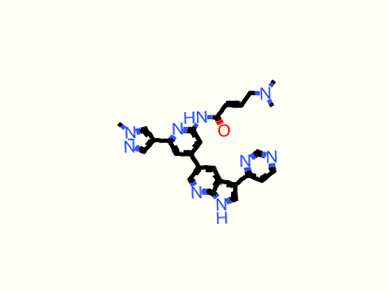 CN(C)CC=CC(=O)Nc1cc(-c2cnc3[nH]cc(-c4ccncn4)c3c2)cc(-c2cnn(C)c2)n1